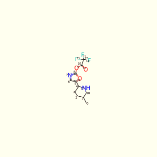 CC1CCC(c2cnc(OC(=O)C(F)(F)F)o2)NC1